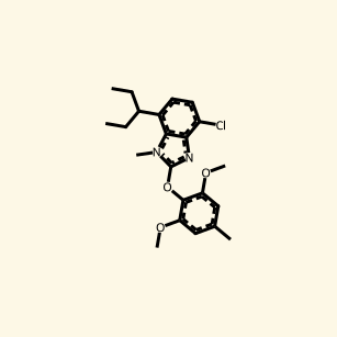 CCC(CC)c1ccc(Cl)c2nc(Oc3c(OC)cc(C)cc3OC)n(C)c12